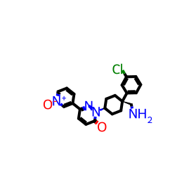 NC[C@]1(c2cccc(Cl)c2)CC[C@H](n2nc(-c3ccc[n+]([O-])c3)ccc2=O)CC1